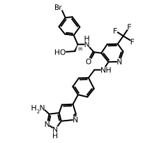 Nc1n[nH]c2ncc(-c3ccc(CNc4ncc(C(F)(F)F)cc4C(=O)N[C@@H](CO)c4ccc(Br)cc4)cc3)cc12